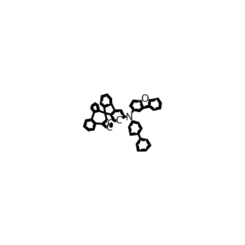 c1ccc(-c2ccc(N(c3ccc4c(c3)-c3ccccc3C43c4ccccc4-c4ccccc4-c4ccccc43)c3ccc4oc5ccccc5c4c3)cc2)cc1